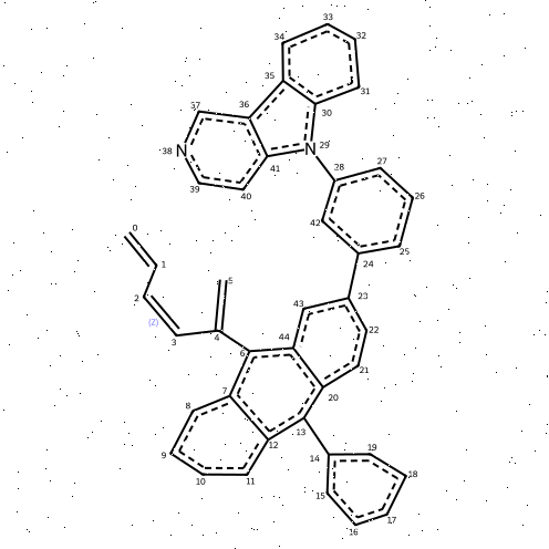 C=C/C=C\C(=C)c1c2ccccc2c(-c2ccccc2)c2ccc(-c3cccc(-n4c5ccccc5c5cnccc54)c3)cc12